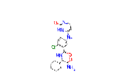 CN(c1ccc(Cl)c(C(=O)NC(C(N)=O)C2CCCCC2)c1)c1ccnc(=O)[nH]1